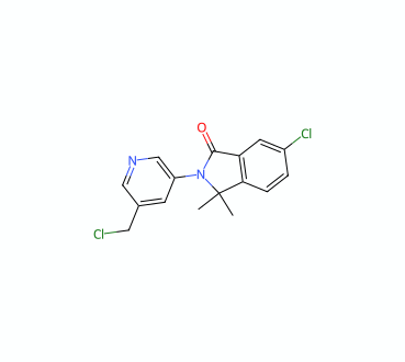 CC1(C)c2ccc(Cl)cc2C(=O)N1c1cncc(CCl)c1